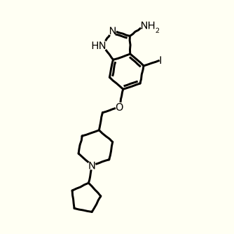 Nc1n[nH]c2cc(OCC3CCN(C4CCCC4)CC3)cc(I)c12